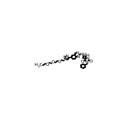 CCCOCCOCCOCCn1cc(-c2ccc3nc(NC4CC5(C4)NC(=O)N(Cc4ccccc4)C5=O)ncc3c2)nn1